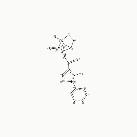 Cc1c(C(=O)/C=C2/C(=O)C3(C)CCC2C3(C)C)cnn1-c1ccccc1